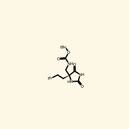 CC(C)CC[C@]1(CNC(=O)OC(C)(C)C)NC(=O)NC1=O